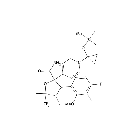 COc1c(C2C(C)C(C)(C(F)(F)F)OC2(C(N)=O)C2=CCN(C3(O[Si](C)(C)C(C)(C)C)CC3)C=C2)ccc(F)c1F